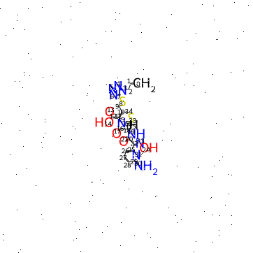 C=CCn1nnnc1SCC1=C(C(=O)O)N2C(=O)C(NC(=O)C(=NO)c3cccc(N)n3)[C@@H]2SC1